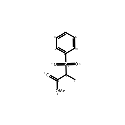 COC(=O)C(C)S(=O)(=O)c1ccccc1